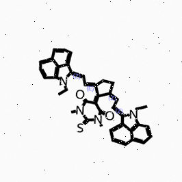 CCn1/c(=C\C=C2\CC/C(=C\C=c3\c4cccc5cccc(c54)n3CC)C2=C2C(=O)N(C)C(=S)N(C)C2=O)c2cccc3cccc1c32